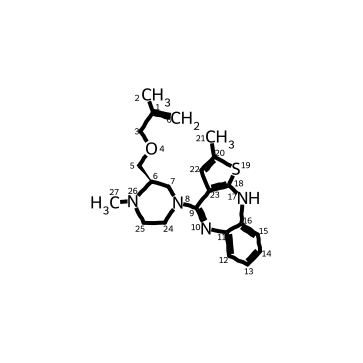 C=C(C)COC[C@H]1CN(C2=Nc3ccccc3Nc3sc(C)cc32)CCN1C